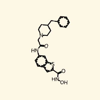 O=C(CN1CCC(Cc2ccccc2)CC1)Nc1ccc2cc(C(=O)NO)sc2c1